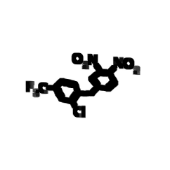 O=[N+]([O-])c1ccc(Cc2ccc(C(F)(F)F)cc2Cl)cc1[N+](=O)[O-]